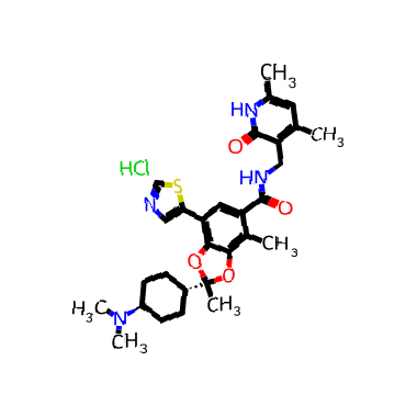 Cc1cc(C)c(CNC(=O)c2cc(-c3cncs3)c3c(c2C)OC(C)([C@H]2CC[C@H](N(C)C)CC2)O3)c(=O)[nH]1.Cl